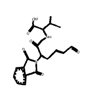 CC(C)C(NC(=O)C(CCCC=O)N1C(=O)c2ccccc2C1=O)C(=O)O